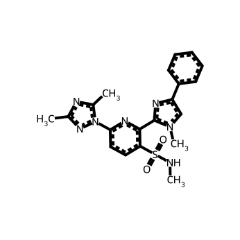 CNS(=O)(=O)c1ccc(-n2nc(C)nc2C)nc1-c1nc(-c2ccccc2)cn1C